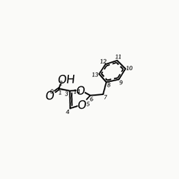 O=C(O)C1=COC(Cc2ccccc2)O1